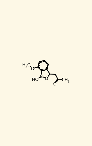 COc1cccc2c1B(O)OC2CC(C)=O